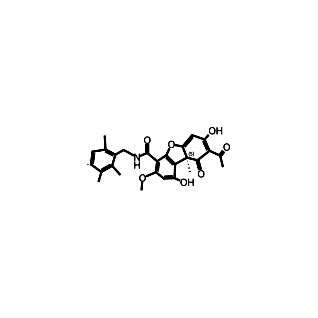 COc1cc(O)c2c(c1C(=O)NCc1c(C)c[c]c(C)c1C)OC1=CC(O)=C(C(C)=O)C(=O)[C@]12C